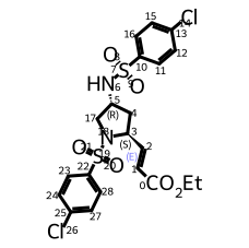 CCOC(=O)/C=C/[C@@H]1C[C@@H](NS(=O)(=O)c2ccc(Cl)cc2)CN1S(=O)(=O)c1ccc(Cl)cc1